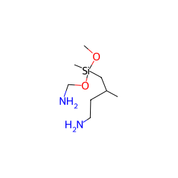 CO[Si](C)(CC(C)CCN)OCN